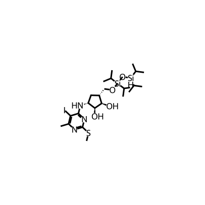 CSc1nc(C)c(I)c(N[C@@H]2C[C@H](CO[Si](O[SiH](C(C)C)C(C)C)(C(C)C)C(C)C)[C@@H](O)[C@H]2O)n1